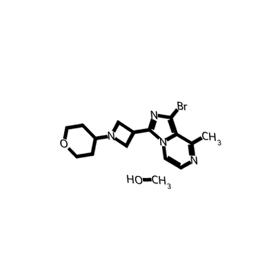 CO.Cc1nccn2c(C3CN(C4CCOCC4)C3)nc(Br)c12